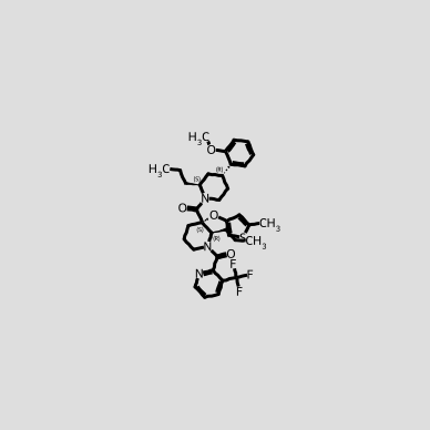 CCC[C@H]1C[C@H](c2ccccc2OC)CCN1C(=O)[C@]1(Oc2csc(C)c2)CCCN(C(=O)c2ncccc2C(F)(F)F)[C@@H]1CCC